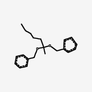 CCCCCC(C)(OCc1ccccc1)OCc1ccccc1